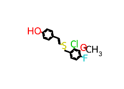 COc1c(F)ccc(CSC=Cc2ccc(O)cc2)c1Cl